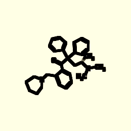 C[C@@H](CC(C(=O)c1ccccc1CN1CCCCC1)(c1ccccc1)c1ccccc1)N(C)C